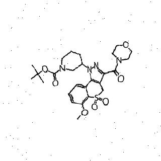 COc1cccc2c1S(=O)(=O)Cc1c(C(=O)N3CCOCC3)nn(C3CCCN(C(=O)OC(C)(C)C)C3)c1-2